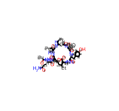 CCC(C)C(=O)N[C@@H](CCC(N)=O)C(=O)N[C@@H]1C(=O)N[C@@H](CC(C)C)C(=O)NC(CC(C)C)C[C@H](O)N(C=O)[C@@H](C(C)CC)C(=O)N(C)C(Cc2ccc(O)cc2)C(=O)N[C@@H]2C(=O)O[C@@H]1CC2CC